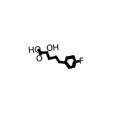 O=C(O)[C@@H](O)CCCc1ccc(F)cc1